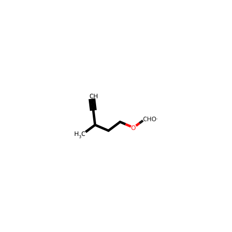 C#CC(C)CCO[C]=O